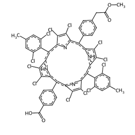 COC(=O)Cc1ccc(-c2c3nc(c(-c4c(Cl)cc(C)cc4Cl)c4[nH]c(c(Cl)c4Cl)c(-c4ccc(C(=O)O)cc4)c4nc(c(-c5c(Cl)cc(C)cc5Cl)c5[nH]c2c(Cl)c5Cl)C(Cl)=C4Cl)C(Cl)=C3Cl)cc1